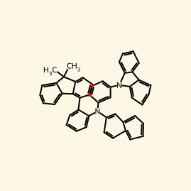 CC1(C)c2ccccc2-c2c(-c3ccccc3N(c3cccc(-n4c5ccccc5c5ccccc54)c3)c3ccc4ccccc4c3)cccc21